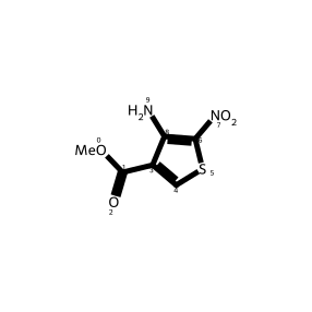 COC(=O)c1csc([N+](=O)[O-])c1N